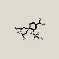 CCCN(CC(C)C)c1ccc(C(=O)O)cc1NS(C)(=O)=O